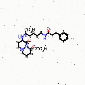 O=C(CCc1ccccc1)NCCCCC(NC1CCN2CCCC(OC(=O)O)N2C1=O)C(=O)O